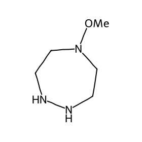 CON1CCNNCC1